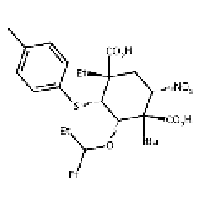 CCC(CC)O[C@@H]1[C@H](Sc2ccc(C)cc2)[C@](CC)(C(=O)O)C[C@H]([N+](=O)[O-])[C@]1(C(=O)O)C(C)(C)C